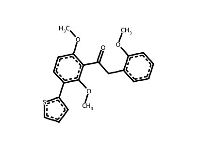 COc1ccccc1CC(=O)c1c(OC)ccc(-c2cccs2)c1OC